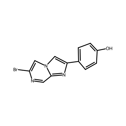 Oc1ccc(-c2cn3cc(Br)ncc3n2)cc1